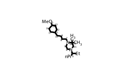 CCCC(CC)N1CCN(CCCCC2CCC(OC)CC2)C(C)(C)C1